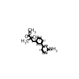 COC(=O)C(C)(C)Cc1cccc(-c2ccnc(N)n2)c1